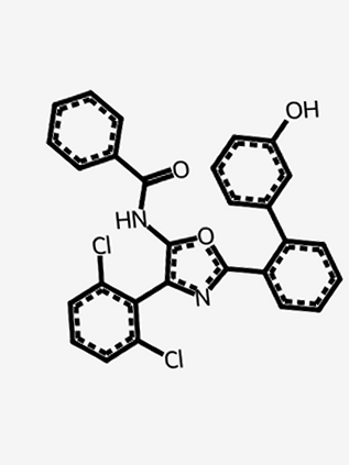 O=C(Nc1oc(-c2ccccc2-c2cccc(O)c2)nc1-c1c(Cl)cccc1Cl)c1ccccc1